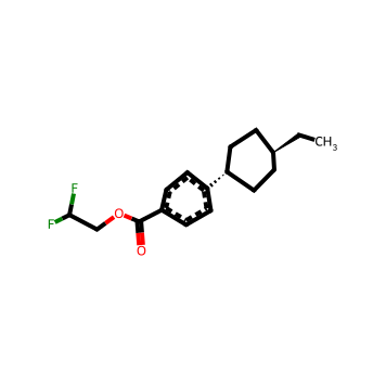 CC[C@H]1CC[C@H](c2ccc(C(=O)OCC(F)F)cc2)CC1